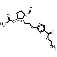 CCOC(=O)c1csc(SCC[C@H]2[C@@H](OC(C)=O)CC[C@@H]2C=O)n1